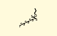 CCCOS(=S)(=S)SSSSSSI